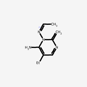 C=C1N=CC(CC)=C(N)N1/N=C\C